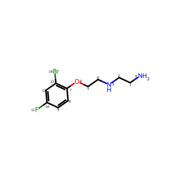 NCCNCCOc1ccc(F)cc1Br